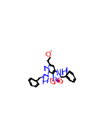 COCCc1cc(NCc2ccccc2)c([N+](=O)[O-])c(NCc2ccccc2)n1